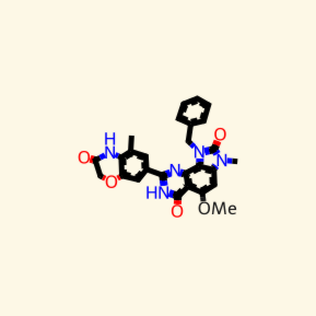 COc1cc2c(c3nc(-c4cc(C)c5c(c4)OCC(=O)N5)[nH]c(=O)c13)n(Cc1ccccc1)c(=O)n2C